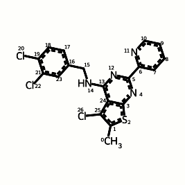 Cc1sc2nc(-c3ccccn3)nc(NCc3ccc(Cl)c(Cl)c3)c2c1Cl